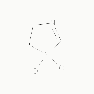 [O-][N+]1(O)C=NCC1